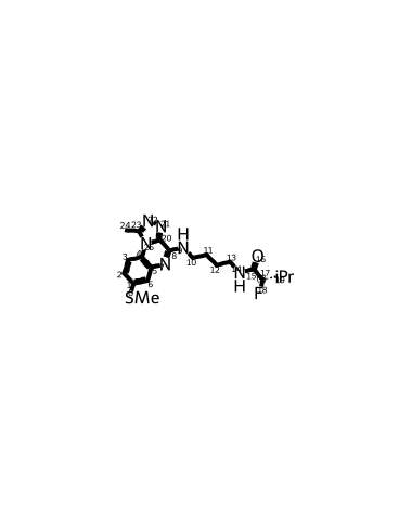 CSc1ccc2c(c1)nc(NCCCCNC(=O)[C@@H](F)C(C)C)c1nnc(C)n12